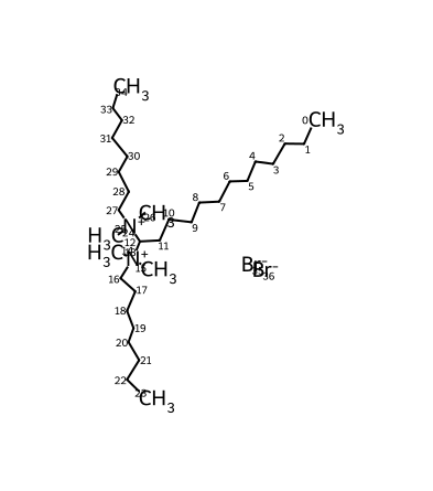 CCCCCCCCCCCCC([N+](C)(C)CCCCCCCC)[N+](C)(C)CCCCCCCC.[Br-].[Br-]